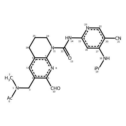 CC(=O)N(C)Cc1cc2c(nc1C=O)N(C(=O)Nc1cc(NC(C)C)c(C#N)cn1)CCC2